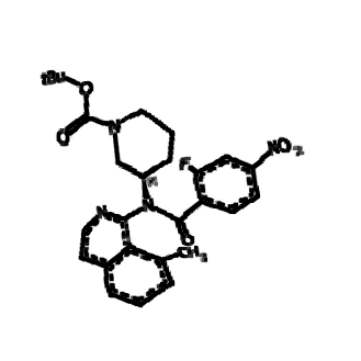 Cc1cccc2ccnc(N(C(=O)c3ccc([N+](=O)[O-])cc3F)[C@@H]3CCCN(C(=O)OC(C)(C)C)C3)c12